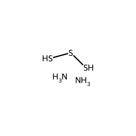 N.N.SSS